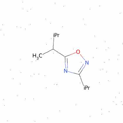 CC(C)c1noc(C(C)C(C)C)n1